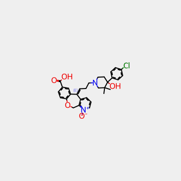 CC1(C)CN(CC/C=C2/c3cc(C(=O)O)ccc3OCc3c2ccc[n+]3[O-])CCC1(O)c1ccc(Cl)cc1